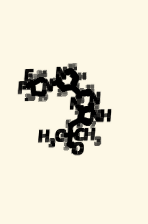 CC(C)(C=O)Cc1c[nH]c2ncc(-c3ccnc(N4CCC(F)(F)C4)c3)nc12